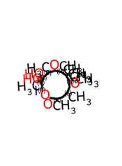 CO[C@@]1(C)C[C@@H](C)C[C@@H](C)C(=O)O[C@H](I)[C@@](C)(O)[C@H](O)[C@@H](C)C(=O)[C@H](C)C1(C)C